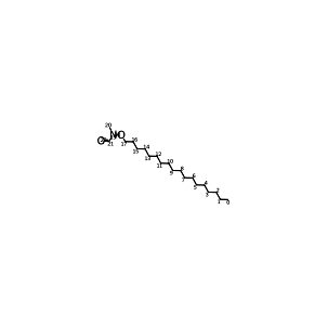 CCCCCCCCCCCCCCCCCCON(C)C=O